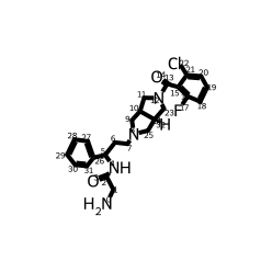 NCC(=O)NC(CCN1CC2CN(C(=O)c3c(F)cccc3Cl)C[C@@H]2C1)c1ccccc1